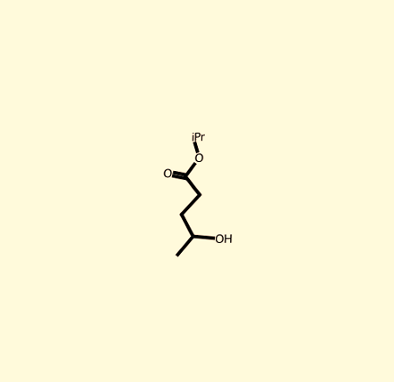 CC(O)CCC(=O)OC(C)C